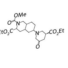 CCOC(=O)C1CC2CC(N3CC(=O)C[C@H](C(=O)OCC)C3)CCC2CN1C(=O)OC